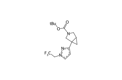 CC(C)(C)OC(=O)N1CC2CC2(c2ccn(CC(F)(F)F)n2)C1